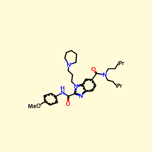 COc1ccc(NC(=O)c2nc3ccc(C(=O)N(CCC(C)C)CCC(C)C)cc3n2CCCN2CCCCC2)cc1